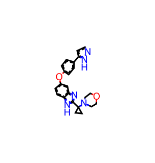 c1cc(-c2ccc(Oc3ccc4[nH]c(C5(N6CCOCC6)CC5)nc4c3)cc2)[nH]n1